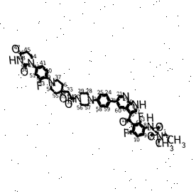 CCN(C)S(=O)(=O)Nc1ccc(F)c(C(=O)c2c[nH]c3ncc(-c4ccc(N5CCN(C(=O)CC6(O)CCN(c7ccc(N8CCC(=O)NC8=O)cc7F)CC6)CC5)cc4)cc23)c1F